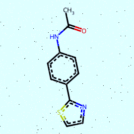 CC(=O)Nc1ccc(-c2nccs2)cc1